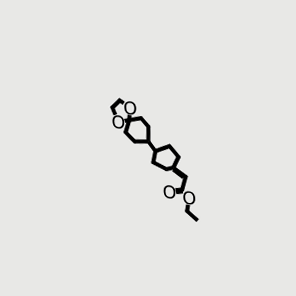 CCOC(=O)C=C1CCC(C2CCC3(CC2)OCCO3)CC1